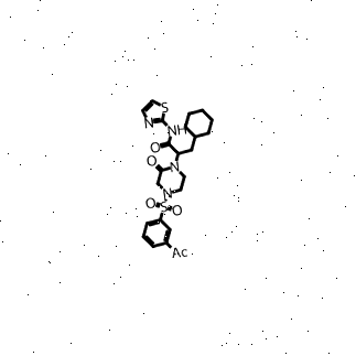 CC(=O)c1cccc(S(=O)(=O)N2CCN(C(CC3CCCCC3)C(=O)Nc3nccs3)C(=O)C2)c1